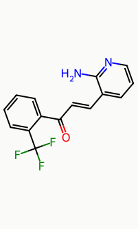 Nc1ncccc1C=CC(=O)c1ccccc1C(F)(F)F